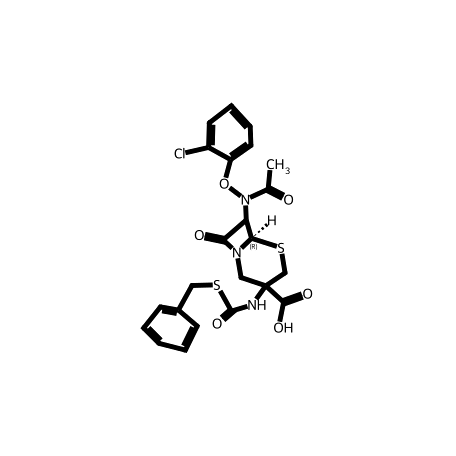 CC(=O)N(Oc1ccccc1Cl)C1C(=O)N2CC(NC(=O)SCc3ccccc3)(C(=O)O)CS[C@H]12